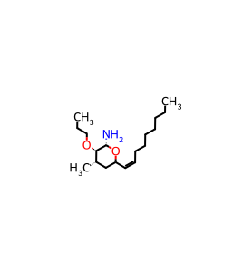 CCCCCCC/C=C\C1C[C@H](C)[C@H](OCCC)[C@H](N)O1